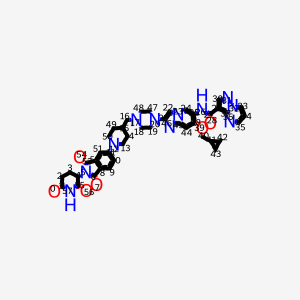 O=C1CCC(N2C(=O)c3ccc(N4CCC(CN5CCN(c6cn7cc(NC(=O)c8cnn9cccnc89)c(OCC8CC8)cc7n6)CC5)CC4)cc3C2=O)C(=O)N1